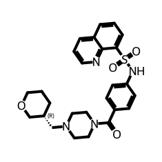 O=C(c1ccc(NS(=O)(=O)c2cccc3cccnc23)cc1)N1CCN(C[C@H]2CCCOC2)CC1